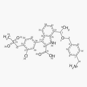 CC(OCc1ccc(CN)cc1)c1cccc2c(-c3ccc(CS(C)(=O)=O)c(Cl)c3)c(C(=O)O)[nH]c12